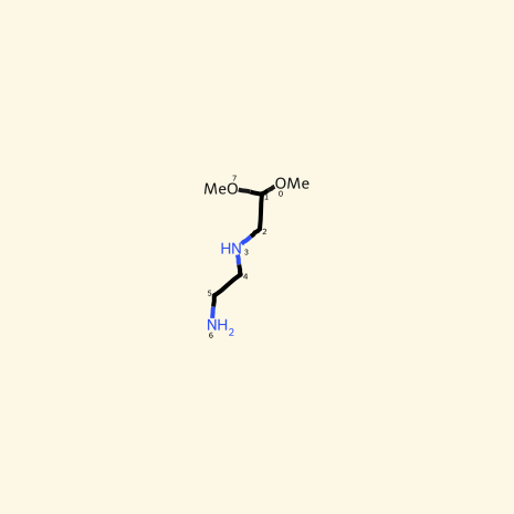 COC(CNCCN)OC